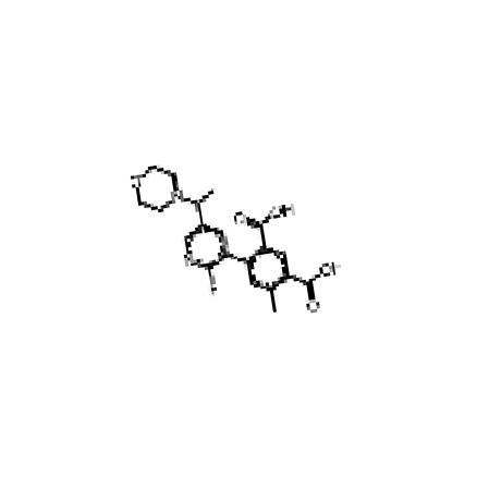 Cc1cc(-c2cc(C(C)N3CCOCC3)cnc2F)c(C(=O)O)cc1C(=O)O